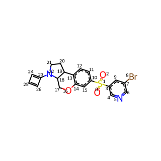 O=S(=O)(c1cncc(Br)c1)c1ccc2c(c1)OCC1C2CCN1C1=CC=C1